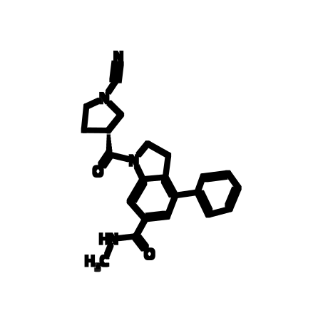 CNC(=O)c1cc(-c2ccccc2)c2c(c1)N(C(=O)[C@@H]1CCN(C#N)C1)CC2